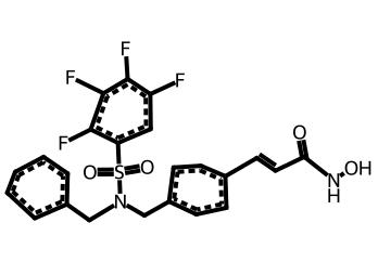 O=C(/C=C/c1ccc(CN(Cc2ccccc2)S(=O)(=O)c2cc(F)c(F)c(F)c2F)cc1)NO